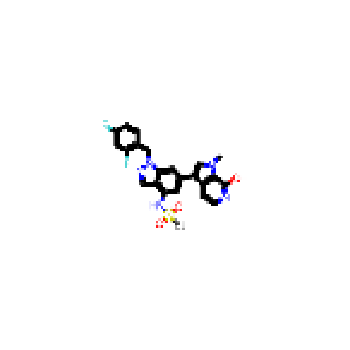 CCS(=O)(=O)Nc1cc(-c2cn(C)c3c(O)nccc23)cc2c1cnn2Cc1ccc(F)cc1F